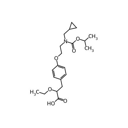 CCOC(Cc1ccc(OCCN(CC2CC2)C(=O)OC(C)C)cc1)C(=O)O